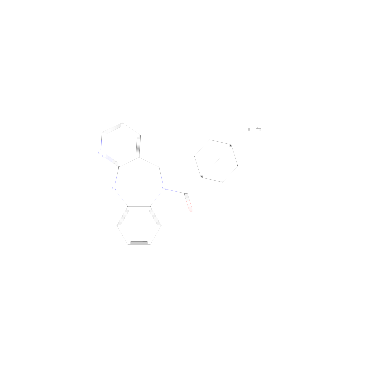 CCCCC[C@]12CC[C@](C(=O)N3Cc4cccnc4Nc4ccccc43)(CC1)CC2